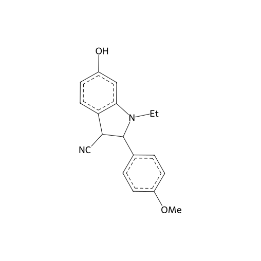 CCN1c2cc(O)ccc2C(C#N)C1c1ccc(OC)cc1